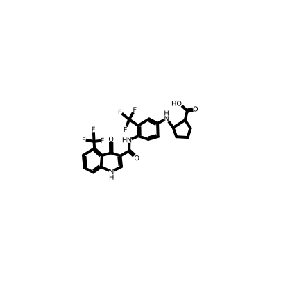 O=C(Nc1ccc(NC2CCCC2C(=O)O)cc1C(F)(F)F)c1c[nH]c2cccc(C(F)(F)F)c2c1=O